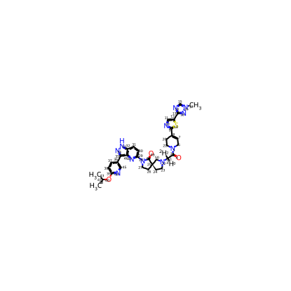 [2H]C([2H])(C(=O)N1CC=C(c2ncc(-c3ncn(C)n3)s2)CC1)N1CC[C@]2(CCN(c3ccc4[nH]nc(-c5ccc(OC(C)C)nc5)c4n3)C2=O)C1